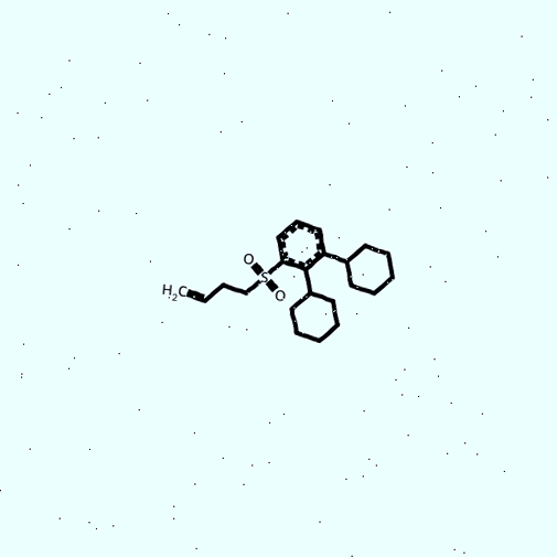 C=CCCS(=O)(=O)c1cccc(C2CCCCC2)c1C1CCCCC1